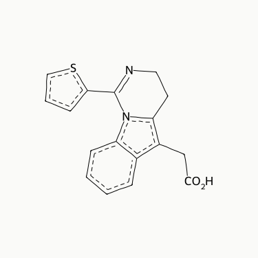 O=C(O)Cc1c2n(c3ccccc13)C(c1cccs1)=NCC2